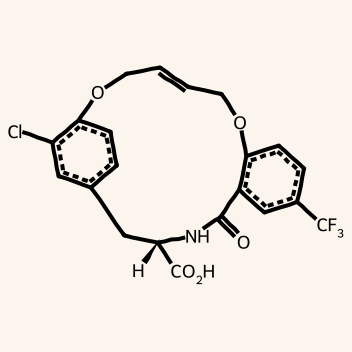 O=C1N[C@H](C(=O)O)Cc2ccc(c(Cl)c2)OC/C=C/COc2ccc(C(F)(F)F)cc21